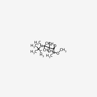 CON(C)C(=O)C(C)(C)C(C)(C)N(C)C(C)(C)C